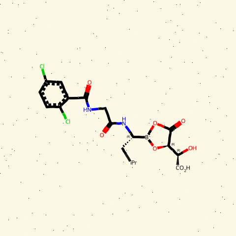 CC(C)C[C@H](NC(=O)CNC(=O)c1cc(Cl)ccc1Cl)B1OC(=O)[C@@H]([C@@H](O)C(=O)O)O1